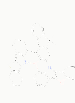 CC1(C)c2ccccc2-c2c1cc1c3c2-c2cccc4c5sc6ccccc6c5n(c24)B3c2cccc3c4oc5ccccc5c4n-1c23